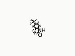 CC(C)(C)c1ccc2c(c1)OCC(=O)N2